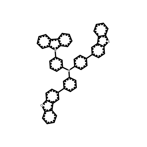 c1cc(-c2ccc3oc4ccccc4c3c2)cc(N(c2ccc(-c3ccc4sc5ccccc5c4c3)cc2)c2cccc(-n3c4ccccc4c4ccccc43)c2)c1